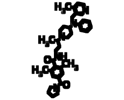 Cc1ccncc1CN(c1ccccc1)C1CCN([C@H](C)CCNC(=O)c2c(C)cc(C(=O)N3CCCC3)cc2C)CC1